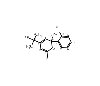 CC1=CC(C(F)(C(F)(F)F)C(F)(F)F)=CC(c2ccccc2F)(C(C)C)[CH]1